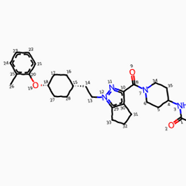 CC(=O)NC1CCN(C(=O)c2nn(CC[C@H]3CC[C@@H](Oc4ccccc4C)CC3)c3c2CCC3)CC1